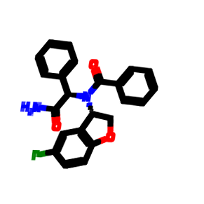 NC(=O)[C@@H](c1ccccc1)N(C(=O)c1ccccc1)[C@@H]1COc2ccc(F)cc21